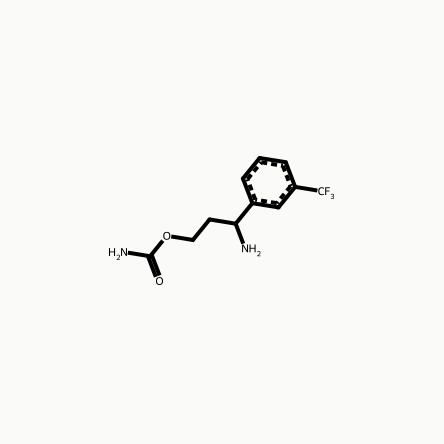 NC(=O)OCCC(N)c1cccc(C(F)(F)F)c1